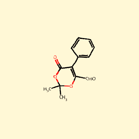 CC1(C)OC(=O)C(c2ccccc2)=C(C=O)O1